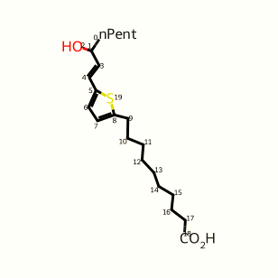 CCCCCC(O)C=Cc1ccc(CCCCCCCCCC(=O)O)s1